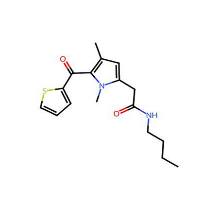 CCCCNC(=O)Cc1cc(C)c(C(=O)c2cccs2)n1C